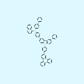 c1ccc(-c2ccc(N(c3ccc(-c4ccc5c(c4)c4cc(-c6ccccc6)ccc4n5-c4ccc(-c5ccc6c7ccccc7c7ccccc7c6c5)cc4)cc3)c3cccc4ccccc34)cc2)cc1